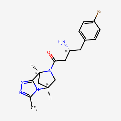 N[C@@H](CC(=O)N1C[C@@H]2C[C@H]1c1nnc(C(F)(F)F)n12)Cc1ccc(Br)cc1